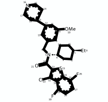 CC[C@H]1CC[C@H](N(Cc2cc(OC)cc(-c3ccncc3)c2)C(=O)c2sc3c(F)ccc(F)c3c2Cl)CC1